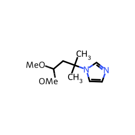 COC(CC(C)(C)n1ccnc1)OC